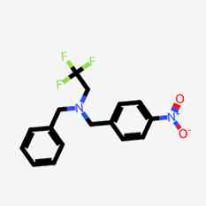 O=[N+]([O-])c1ccc(CN(Cc2ccccc2)CC(F)(F)F)cc1